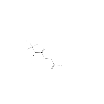 CC(C)(S)[C@H](N)C(=O)NCC(=O)O.Cl